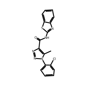 Cc1c(C(=O)Nc2nc3ccccc3s2)nnn1-c1ccccc1Cl